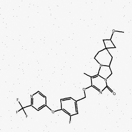 COC1CC2(CCN3c4c(C)c(OCc5ccc(Oc6ccnc(C(F)(F)F)c6)c(F)c5)nc(=O)n4CC3C2)C1